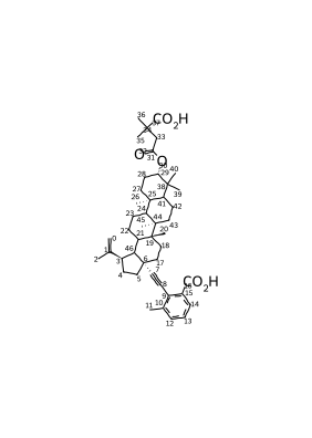 C=C(C)[C@@H]1CC[C@]2(C#Cc3c(C)cccc3C(=O)O)CC[C@]3(C)C(CCC4[C@@]5(C)CC[C@H](OC(=O)CC(C)(C)C(=O)O)C(C)(C)C5CC[C@]43C)C12